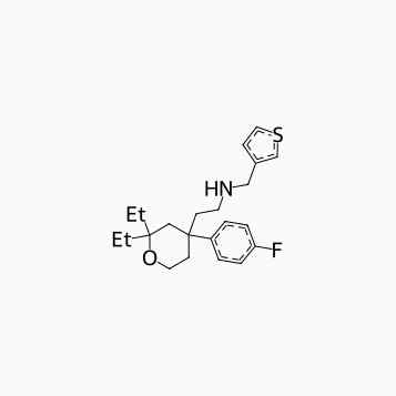 CCC1(CC)CC(CCNCc2ccsc2)(c2ccc(F)cc2)CCO1